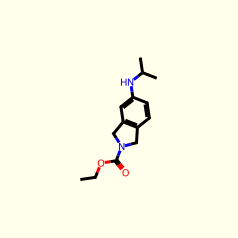 CCOC(=O)N1Cc2ccc(NC(C)C)cc2C1